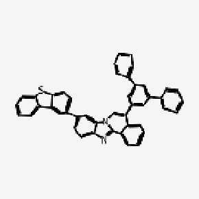 c1ccc(-c2cc(-c3ccccc3)cc(-c3cn4c5cc(-c6ccc7sc8ccccc8c7c6)ccc5nc4c4ccccc34)c2)cc1